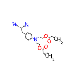 C=CC(=O)OCCN(CCOC(=O)C=C)c1ccc(C=C(C#N)C#N)cc1